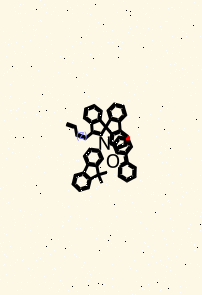 C=C/C=C\C1=C(N(c2ccc3c(c2)C(C)(C)c2ccccc2-3)c2cccc3c2oc2ccccc23)C2(c3ccccc31)c1ccccc1-c1ccccc12